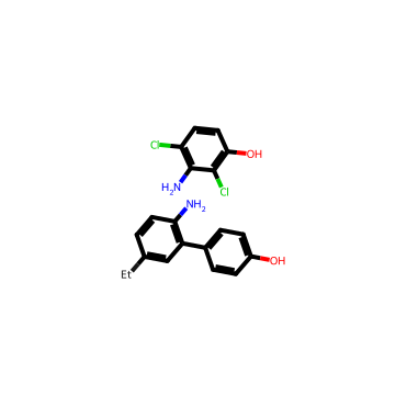 CCc1ccc(N)c(-c2ccc(O)cc2)c1.Nc1c(Cl)ccc(O)c1Cl